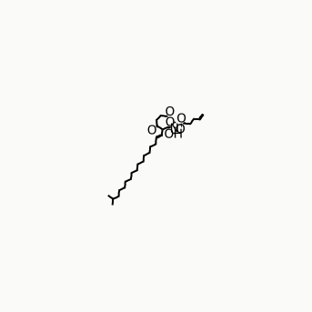 C=CCCC(=O)O[N+](C)(C)C1(O)OC(=O)CCC(=O)C1C=CCCCCCCCCCCCCCC(C)C